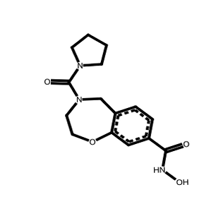 O=C(NO)c1ccc2c(c1)OCCN(C(=O)N1CCCC1)C2